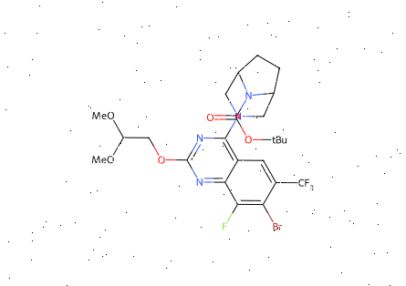 COC(COc1nc(N2CC3CCC(C2)N3C(=O)OC(C)(C)C)c2cc(C(F)(F)F)c(Br)c(F)c2n1)OC